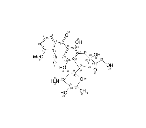 COc1cccc2c1C(=O)c1c(O)c3c(c(O)c1C2=O)C[C@@](O)(C(=O)CO)C[C@@H]3[C@H]1CC(N)[C@@H](O)C(C)O1